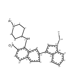 CC(=O)N1CCC(Nc2c([N+](=O)[O-])cnc3ccc(-c4cn(SI)c5ncccc45)cc23)CC1